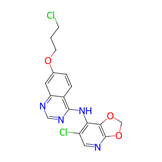 ClCCCOc1ccc2c(Nc3c(Cl)cnc4c3OCO4)ncnc2c1